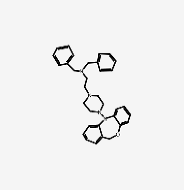 c1ccc(CN(CCN2CCN(N3c4ccccc4COc4ccccc43)CC2)Cc2ccccc2)cc1